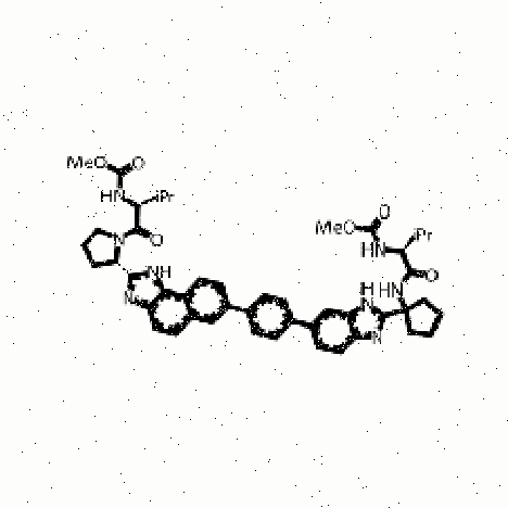 COC(=O)N[C@H](C(=O)NC1(c2nc3ccc(-c4ccc(-c5ccc6c(ccc7nc([C@@H]8CCCN8C(=O)[C@@H](NC(=O)OC)C(C)C)[nH]c76)c5)cc4)cc3[nH]2)CCCC1)C(C)C